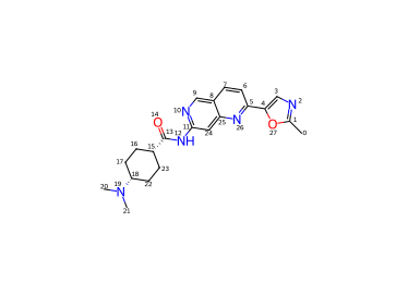 Cc1ncc(-c2ccc3cnc(NC(=O)[C@H]4CC[C@@H](N(C)C)CC4)cc3n2)o1